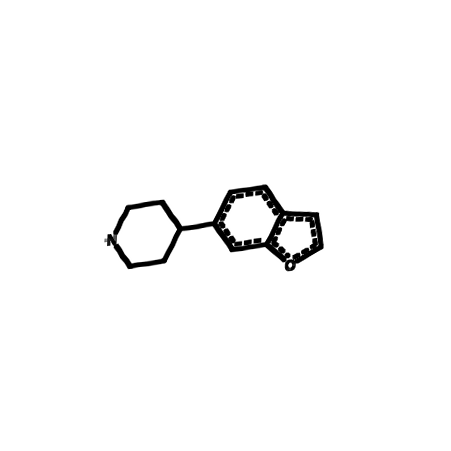 c1cc2ccc(C3CC[N]CC3)cc2o1